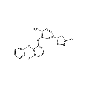 Cc1ncc([C@@H]2CC(Br)=NO2)cc1Oc1cccc(C(F)(F)F)c1Oc1ccccc1